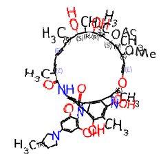 CO[C@H]1/C=C/O[C@@]2(C)Oc3c(C)c(O)c4c(=O)c(c5oc6cc(N7CC[C@@H](C)C7)cc(O)c6nc-5c4c3/C2=N/O)NC(=O)/C(C)=C\C=C\[C@H](C)[C@H](O)[C@@H](C)[C@@H](O)[C@@H](C)[C@H](OC(C)=O)[C@@H]1C